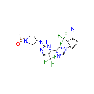 C[S+]([O-])N1CCC(Nc2ncc(C(F)(F)F)c(-c3cn(-c4cccc(C#N)c4C(F)(F)F)cn3)n2)CC1